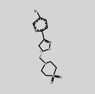 O=S1(=O)CCN(C[C@@H]2CC(c3ccc(Br)cn3)=NO2)CC1